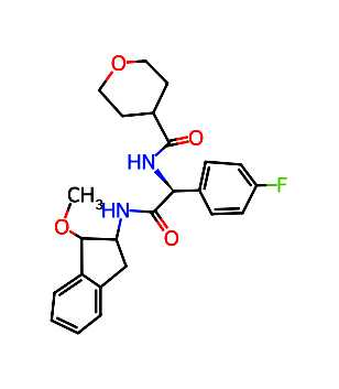 COC1c2ccccc2CC1NC(=O)[C@@H](NC(=O)C1CCOCC1)c1ccc(F)cc1